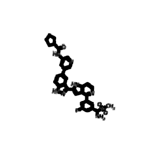 CS(=O)(=O)C(N)c1cc(F)cc(-c2nccc3[nH]c(-c4n[nH]c5ccc(-c6cncc(NC(=O)C7CCCC7)c6)cc45)cc23)c1